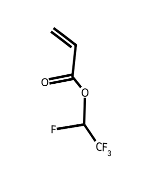 C=CC(=O)OC(F)C(F)(F)F